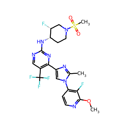 COc1nccc(-n2cc(-c3nc(N[C@H]4CCN(S(C)(=O)=O)C[C@H]4F)ncc3C(F)(F)F)nc2C)c1F